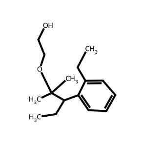 CCc1ccccc1C(CC)C(C)(C)OCCO